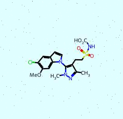 COc1cc2c(ccn2-c2c(CCS(=O)(=O)NC(=O)O)c(C)nn2C)cc1Cl